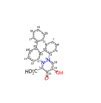 O=C(O)c1nn(-c2ccccc2-c2ccccc2-c2ccccc2)cc(O)c1=O